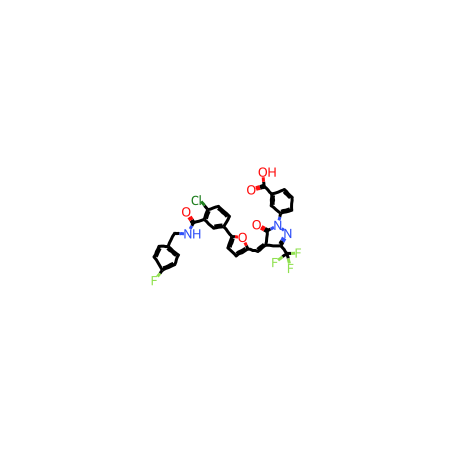 O=C(O)c1cccc(N2N=C(C(F)(F)F)C(=Cc3ccc(-c4ccc(Cl)c(C(=O)NCc5ccc(F)cc5)c4)o3)C2=O)c1